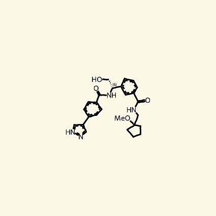 COC1(CNC(=O)c2cccc([C@@H](CO)NC(=O)c3ccc(-c4cn[nH]c4)cc3)c2)CCCC1